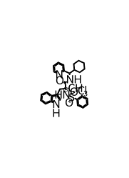 C[C@@](Cc1c[nH]c2ccccc12)(NS(=O)(=O)c1ccccc1Cl)C(=O)NC(c1ccccn1)C1CCCCC1